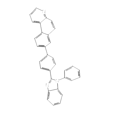 c1ccc(-n2c(-c3ccc(-c4ccc5c(ccc6ncccc65)c4)cc3)nc3ccccc32)cc1